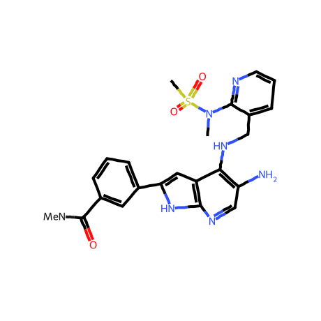 CNC(=O)c1cccc(-c2cc3c(NCc4cccnc4N(C)S(C)(=O)=O)c(N)cnc3[nH]2)c1